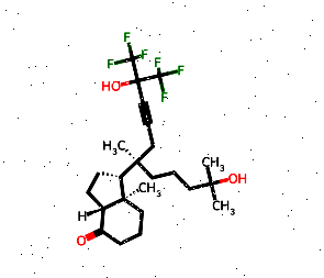 CC(C)(O)CCC[C@](C)(CC#CC(O)(C(F)(F)F)C(F)(F)F)[C@H]1CC[C@H]2C(=O)CCC[C@]12C